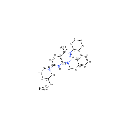 C=C(NC1CCCCC1)c1ccc(N2CCCC(CC(=O)O)C2)nc1N1CCc2ccccc2C1